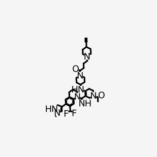 C#CC1CCN(CCCC(=O)N2CCC(NC3=C(C(=N)N4CCCc5cc(C6=CN(C)NC6)c(C(F)F)cc54)CN(C(C)=O)CC3)CC2)CC1